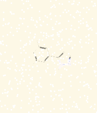 Cc1cc(C)cc(-c2c[c]nn2C)c1